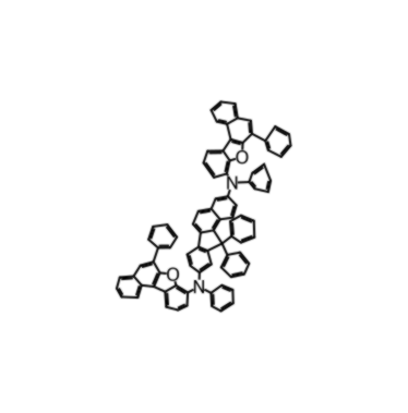 c1ccc(-c2cc3ccccc3c3c2oc2c(N(c4ccccc4)c4ccc5c(c4)C(c4ccccc4)(c4ccccc4)c4c-5ccc5cc(N(c6ccccc6)c6cccc7c6oc6c(-c8ccccc8)cc8ccccc8c67)ccc45)cccc23)cc1